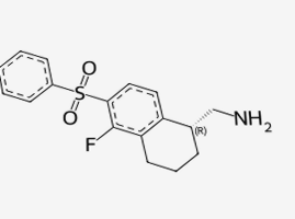 NC[C@@H]1CCCc2c1ccc(S(=O)(=O)c1ccccc1)c2F